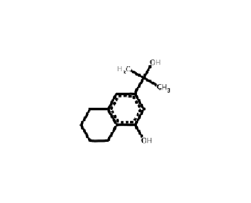 CC(C)(O)c1cc(O)c2c(c1)CCCC2